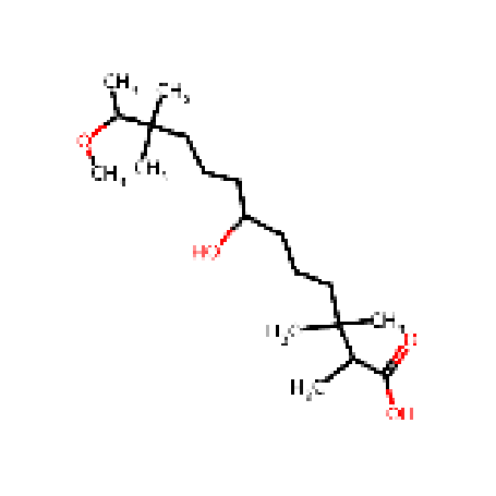 COC(C)C(C)(C)CCCC(O)CCCC(C)(C)C(C)C(=O)O